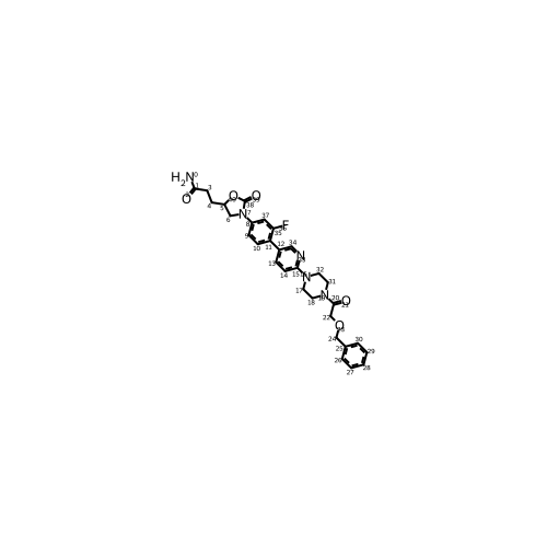 NC(=O)CCC1CN(c2ccc(-c3ccc(N4CCN(C(=O)COCc5ccccc5)CC4)nc3)c(F)c2)C(=O)O1